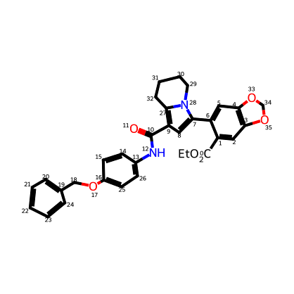 CCOC(=O)c1cc2c(cc1-c1cc(C(=O)Nc3ccc(OCc4ccccc4)cc3)c3n1CCCC3)OCO2